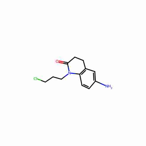 Nc1ccc2c(c1)CCC(=O)N2CCCCl